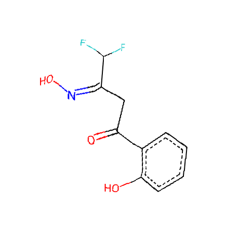 O=C(CC(=NO)C(F)F)c1ccccc1O